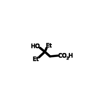 CCC(O)(CC)CC(=O)O